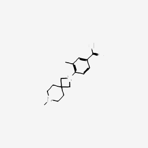 Cc1cc(C(=O)Cl)ccc1N1CC2(CCN(C)CC2)C1